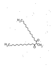 [CH2]C(C(=O)CCCCCCCCCCCCC)C(=O)CCCCCCCCCCCCC